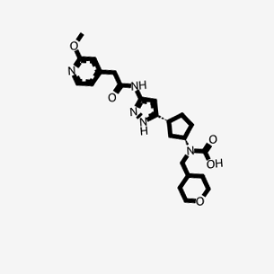 COc1cc(CC(=O)Nc2cc([C@@H]3CC[C@H](N(CC4CCOCC4)C(=O)O)C3)[nH]n2)ccn1